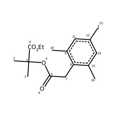 CCOC(=O)C(C)(C)OC(=O)Cc1c(C)cc(I)cc1C